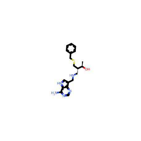 C[C@@H](O)[C@H](CNCc1c[nH]c2c(N)ncnc12)CSCc1ccccc1